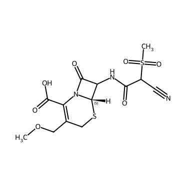 COCC1=C(C(=O)O)N2C(=O)C(NC(=O)C(C#N)S(C)(=O)=O)[C@@H]2SC1